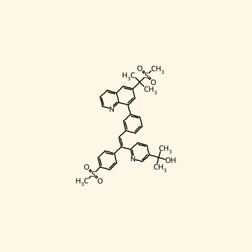 CC(C)(O)c1ccc(C(=Cc2cccc(-c3cc(C(C)(C)S(C)(=O)=O)cc4cccnc34)c2)c2ccc(S(C)(=O)=O)cc2)nc1